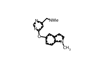 CNCc1cc(Oc2ccc3c(ccn3C)c2)ncn1